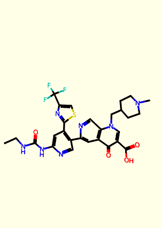 CCNC(=O)Nc1cc(-c2nc(C(F)(F)F)cs2)c(-c2cc3c(=O)c(C(=O)O)cn(CC4CCN(C)CC4)c3cn2)cn1